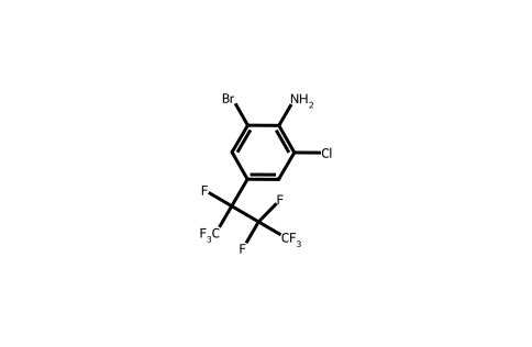 Nc1c(Cl)cc(C(F)(C(F)(F)F)C(F)(F)C(F)(F)F)cc1Br